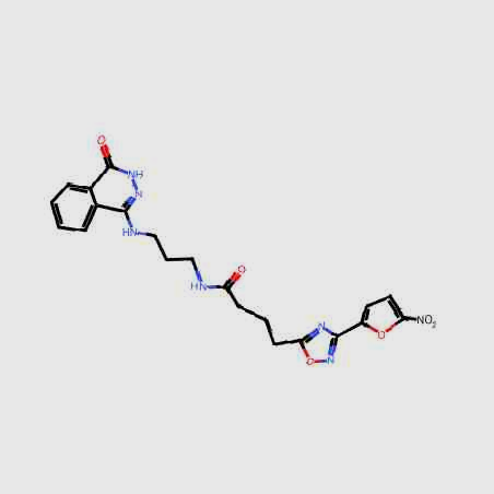 O=C(CCCc1nc(-c2ccc([N+](=O)[O-])o2)no1)NCCCNc1n[nH]c(=O)c2ccccc12